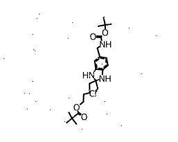 CC(C)(C)OC(=O)NCc1ccc2c(c1)NC(CCl)(CCCCOC(=O)C(C)(C)C)N2